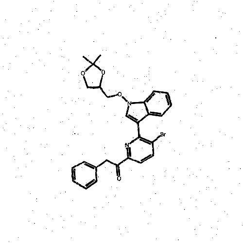 CC1(C)OCC(COn2cc(-c3nc(C(=O)Cc4ccccc4)ccc3Br)c3ccccc32)O1